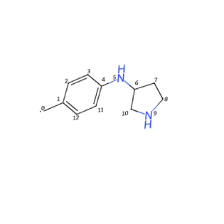 [CH2]c1ccc(NC2CCNC2)cc1